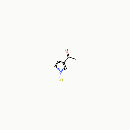 CC(=O)c1ccn(S)c1